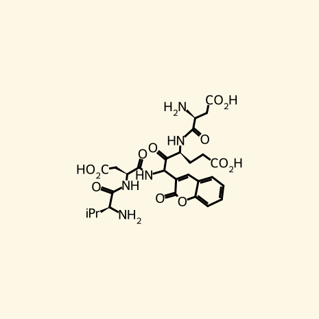 CC(C)[C@H](N)C(=O)N[C@@H](CC(=O)O)C(=O)NC(C(=O)[C@H](CCC(=O)O)NC(=O)[C@@H](N)CC(=O)O)c1cc2ccccc2oc1=O